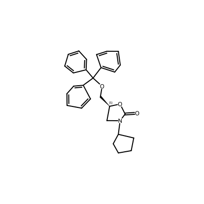 O=C1O[C@H](COC(c2ccccc2)(c2ccccc2)c2ccccc2)CN1C1CCCC1